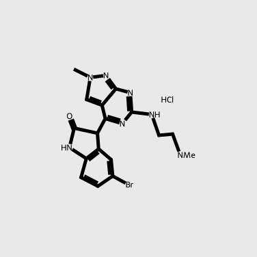 CNCCNc1nc(C2C(=O)Nc3ccc(Br)cc32)c2cn(C)nc2n1.Cl